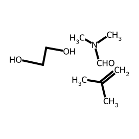 C=C(C)C.CN(C)C=O.OCCO